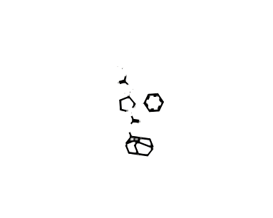 CC(C)(C)OC(=O)N[C@@H]1CCN(C(=O)OC2C3CC4CC(C3)CC2C4)[C@H]1c1ccccc1